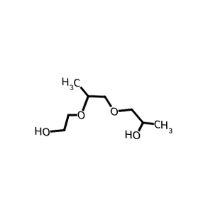 CC(O)COCC(C)OCCO